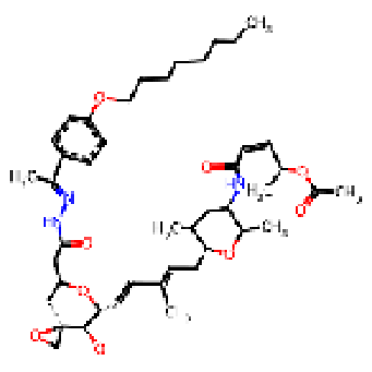 CCCCCCCCOc1ccc(/C(C)=N/NC(=O)C[C@@H]2C[C@@]3(CO3)[C@H](O)[C@@H](/C=C/C(C)=C/C[C@@H]3O[C@H](C)[C@H](NC(=O)/C=C\[C@H](C)OC(C)=O)C[C@@H]3C)O2)cc1